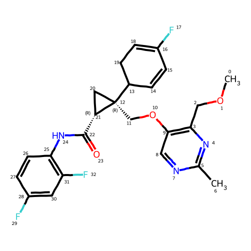 COCc1nc(C)ncc1OC[C@@]1(C2C=CC(F)=CC2)C[C@H]1C(=O)Nc1ccc(F)cc1F